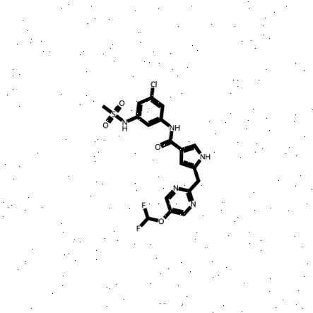 CS(=O)(=O)Nc1cc(Cl)cc(NC(=O)c2c[nH]c(Cc3ncc(OC(F)F)cn3)c2)c1